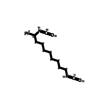 CC(C)C(CCCCCCCCN=C=O)N=C=O